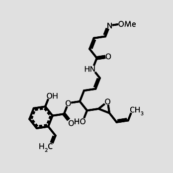 C=Cc1cccc(O)c1C(=O)OC(C/C=C\NC(=O)/C=C\C=N\OC)C(O)C1OC1/C=C\C